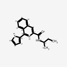 CCC(C)NC(=O)c1cc2ccccc2c(-c2cccs2)n1